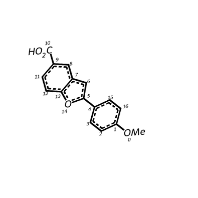 COc1ccc(-c2cc3cc(C(=O)O)ccc3o2)cc1